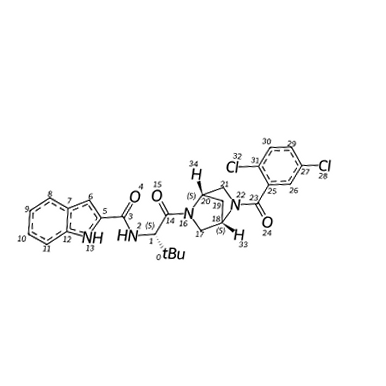 CC(C)(C)[C@H](NC(=O)c1cc2ccccc2[nH]1)C(=O)N1C[C@@H]2C[C@H]1CN2C(=O)c1cc(Cl)ccc1Cl